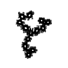 c1ccc(-c2cccc(-c3cccc(-c4ccc(-c5nc(-c6ccc(-c7cccc(-n8c9ccccc9c9ccccc98)c7)cc6)cc(-c6ccc(-c7cccc(-n8c9ccccc9c9ccccc98)c7)cc6)n5)cc4)c3)c2)cc1